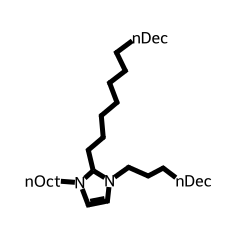 CCCCCCCCCCCCCCCCCC1N(CCCCCCCC)C=CN1CCCCCCCCCCCCC